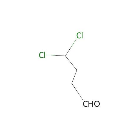 O=CCCC(Cl)Cl